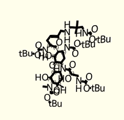 CN(C(=O)OC(C)(C)C)[C@@H]1[C@@H](O)[C@@H](O[C@H]2[C@H](NC(=O)[C@@H](O)CNC(=O)OC(C)(C)C)C[C@H](NC(=O)OC(C)(C)C)C([C@H]3OC(CNCC(C)(C)CNC(=O)OC(C)(C)C)=CC[C@H]3NC(=O)OC(C)(C)C)[C@@H]2O)CC[C@]1(C)O